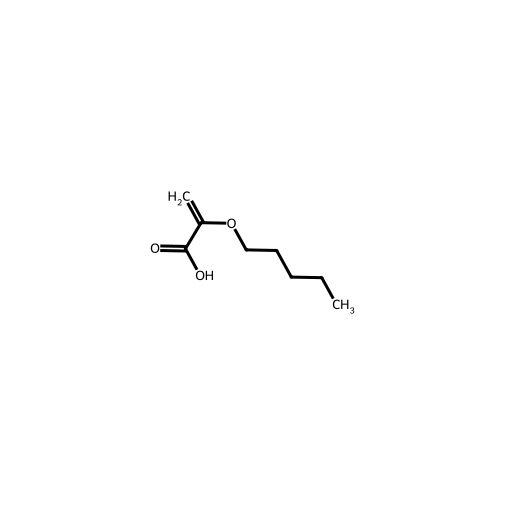 C=C(OCCCCC)C(=O)O